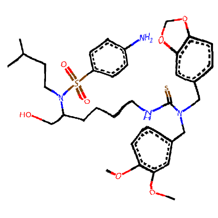 COc1ccc(CN(Cc2ccc3c(c2)OCO3)C(=S)NCCCCC(CO)N(CCC(C)C)S(=O)(=O)c2ccc(N)cc2)cc1OC